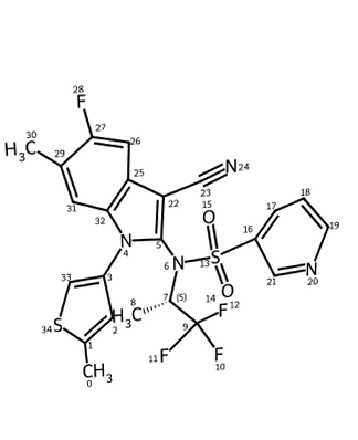 Cc1cc(-n2c(N([C@@H](C)C(F)(F)F)S(=O)(=O)c3cccnc3)c(C#N)c3cc(F)c(C)cc32)cs1